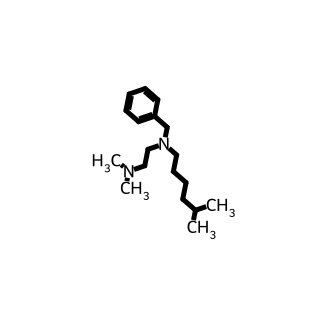 CC(C)CCCCN(CCN(C)C)Cc1ccccc1